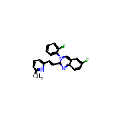 Cc1cccc(C=CC2N=c3ccc(F)cc3=CN2c2ccccc2F)n1